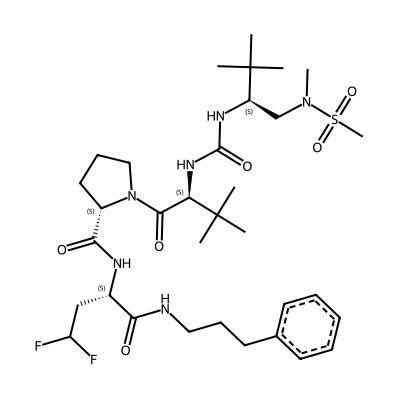 CN(C[C@@H](NC(=O)N[C@H](C(=O)N1CCC[C@H]1C(=O)N[C@@H](CC(F)F)C(=O)NCCCc1ccccc1)C(C)(C)C)C(C)(C)C)S(C)(=O)=O